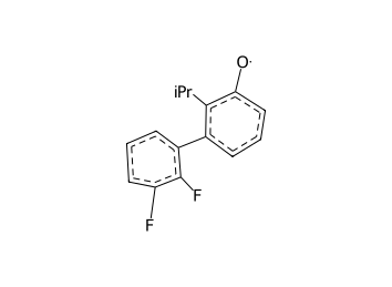 CC(C)c1c([O])cccc1-c1cccc(F)c1F